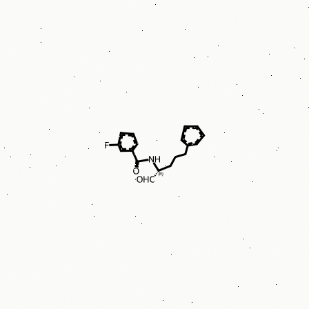 O=[C][C@@H](CCCc1ccccc1)NC(=O)c1cccc(F)c1